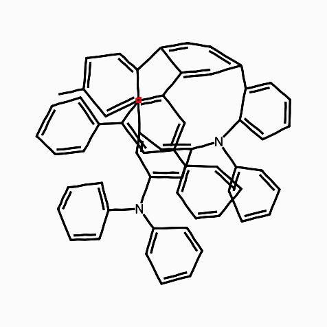 Cc1ccc2c(c1)-c1cc(N(c3ccccc3)c3ccccc3)cc(c1)N(c1ccccc1)c1ccccc1-c1ccc-2c(-c2cc(-c3ccccc3)cc(-c3ccccc3)c2)c1